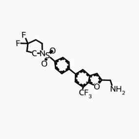 NCc1cc2cc(-c3ccc(S(=O)(=O)N4CCC(F)(F)CC4)cc3)cc(C(F)(F)F)c2o1